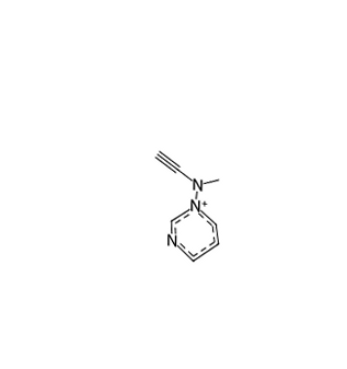 C#CN(C)[n+]1cccnc1